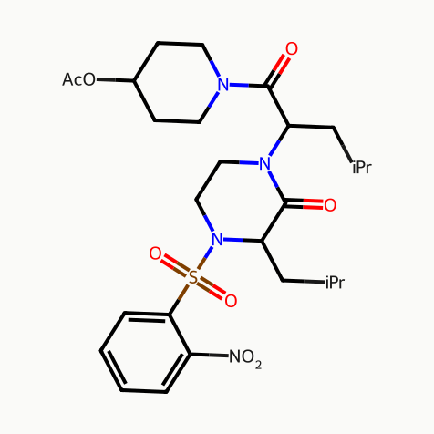 CC(=O)OC1CCN(C(=O)C(CC(C)C)N2CCN(S(=O)(=O)c3ccccc3[N+](=O)[O-])C(CC(C)C)C2=O)CC1